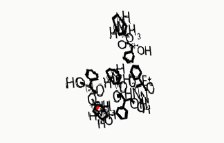 CCC1(c2ccccc2)C(=O)NC(=O)NC1=O.CN1[C@@H]2CC[C@H]1C[C@@H](OC(=O)C(CO)c1ccccc1)C2.CN1[C@@H]2CC[C@H]1C[C@@H](OC(=O)[C@H](CO)c1ccccc1)C2.CN1[C@@H]2C[C@@H](OC(=O)[C@H](CO)c3ccccc3)C[C@H]1[C@@H]1O[C@@H]12